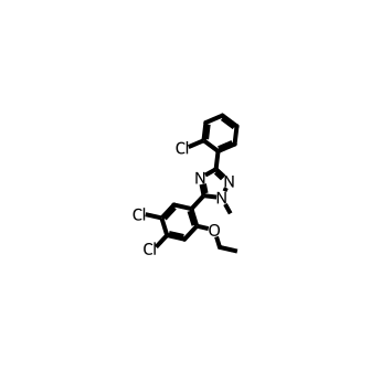 CCOc1cc(Cl)c(Cl)cc1-c1nc(-c2ccccc2Cl)nn1C